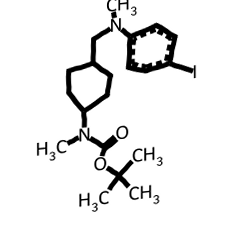 CN(CC1CCC(N(C)C(=O)OC(C)(C)C)CC1)c1ccc(I)cc1